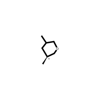 CC1COC[C@@H](C)C1